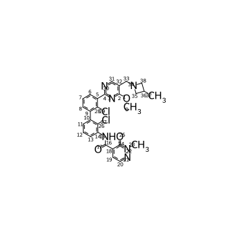 COc1nc(-c2cccc(-c3cccc(NC(=O)c4ccnn(C)c4=O)c3Cl)c2Cl)ncc1CN1CC(C)C1